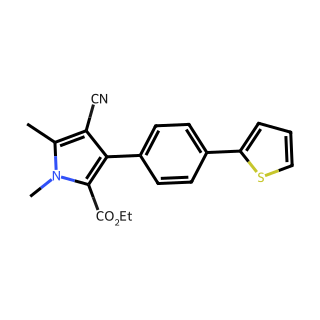 CCOC(=O)c1c(-c2ccc(-c3cccs3)cc2)c(C#N)c(C)n1C